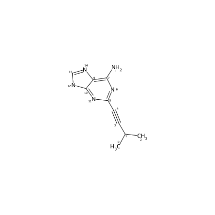 CC(C)C#Cc1nc(N)c2c(n1)[N]C=N2